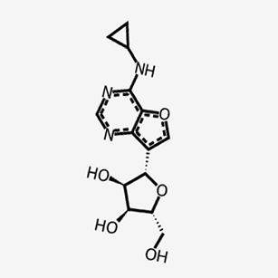 OC[C@H]1O[C@@H](c2coc3c(NC4CC4)ncnc23)[C@H](O)[C@@H]1O